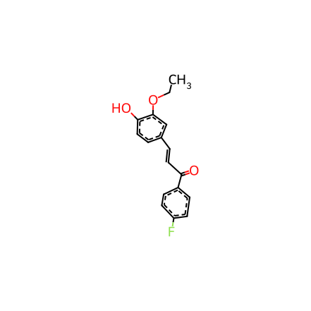 CCOc1cc(/C=C/C(=O)c2ccc(F)cc2)ccc1O